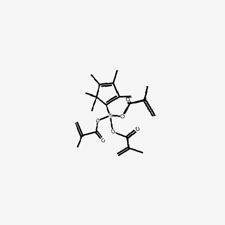 C=C(C)C(=O)[O][Ti]([O]C(=O)C(=C)C)([O]C(=O)C(=C)C)[C]1=C(C)C(C)=C(C)C1(C)C